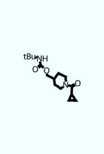 CC(C)(C)NC(=O)OCC1CCN(C(=O)C2CC2)CC1